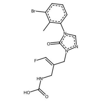 Cc1c(Br)cccc1-n1cnn(CC(=CF)CNC(=O)O)c1=O